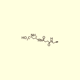 C#CCNC(=O)CCC(=O)NCCCCC(N)C(=O)O